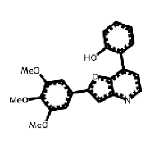 COc1cc(-c2cc3nccc(-c4ccccc4O)c3o2)cc(OC)c1OC